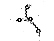 Clc1ccc(OCc2nc3c(OCCCCCC4CCNCC4)cccc3n2CCCCCC2CCNCC2)cc1